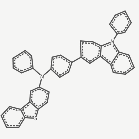 c1ccc(N(c2ccc(-c3ccc4c(c3)c3ccccc3n4-c3ccccc3)cc2)c2ccc3sc4ccccc4c3c2)cc1